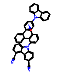 N#Cc1ccc2c(c1)c1c(C#N)cccc1n2-c1cccc(C#N)c1-c1ccccc1-c1ccc(-n2c3ccccc3c3ccccc32)cc1